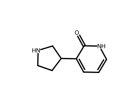 O=c1[nH]cccc1C1CCNC1